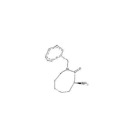 N[C@H]1CCCCCN(Cc2ccccc2)C1=O